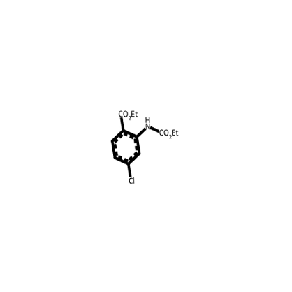 CCOC(=O)Nc1cc(Cl)ccc1C(=O)OCC